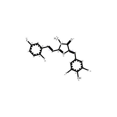 CN1C(=O)/C(=C/c2cc(F)c(O)c(F)c2)N=C1/C=C/c1cc(F)ccc1F